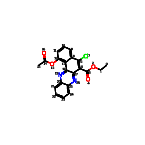 CCOC(=O)c1c(Cl)c2cccc(OC(C)=O)c2c2nc3ccccc3nc12